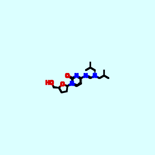 CC(C)CN(C=Nc1ccn([C@H]2CC[C@@H](CO)O2)c(=O)n1)CC(C)C